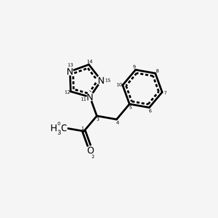 CC(=O)C(Cc1ccccc1)n1cncn1